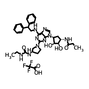 CCNC(=O)N[C@@H]1CCN(c2nc(NCC(c3ccccc3)c3ccccc3)c3ncn([C@@H]4C[C@H](NC(=O)CC)[C@@H](O)[C@H]4O)c3n2)C1.O=C(O)C(F)(F)F